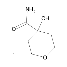 NC(=O)C1(O)CCOCC1